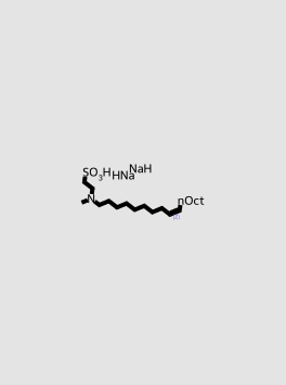 CCCCCCCC/C=C\CCCCCCCCN(C)CCS(=O)(=O)O.[NaH].[NaH]